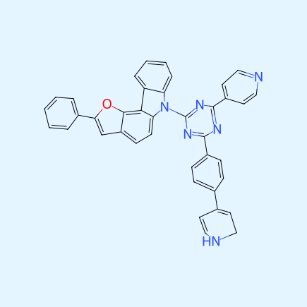 C1=CC(c2ccc(-c3nc(-c4ccncc4)nc(-n4c5ccccc5c5c6oc(-c7ccccc7)cc6ccc54)n3)cc2)=CCN1